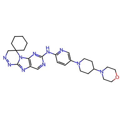 c1cc(Nc2ncc3nc4n(c3n2)C2(CCCCC2)CN=N4)ncc1N1CCC(N2CCOCC2)CC1